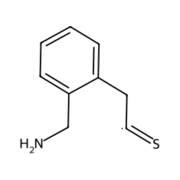 NCc1ccccc1C[C]=S